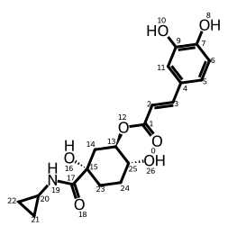 O=C(/C=C/c1ccc(O)c(O)c1)O[C@@H]1C[C@](O)(C(=O)NC2CC2)CC[C@H]1O